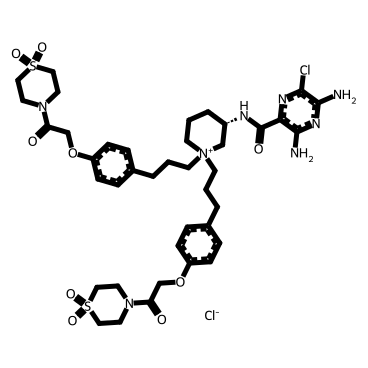 Nc1nc(N)c(C(=O)N[C@H]2CCC[N+](CCCc3ccc(OCC(=O)N4CCS(=O)(=O)CC4)cc3)(CCCc3ccc(OCC(=O)N4CCS(=O)(=O)CC4)cc3)C2)nc1Cl.[Cl-]